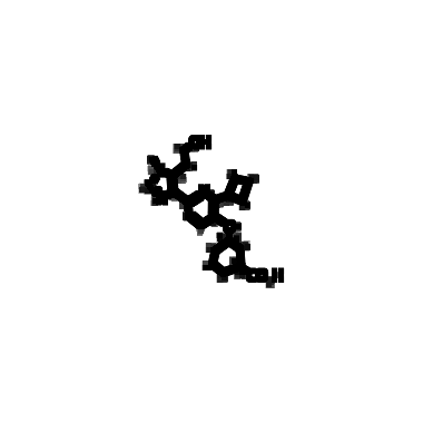 Cn1nnc(-c2ccc(O[C@H]3CCC[C@H](C(=O)O)C3)c(C3CCC3)n2)c1CCO